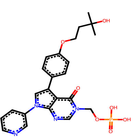 CC(C)(O)CCOc1ccc(-c2cn(-c3cccnc3)c3ncn(COP(=O)(O)O)c(=O)c23)cc1